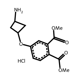 COC(=O)c1ccc(OC2CC(N)C2)cc1C(=O)OC.Cl